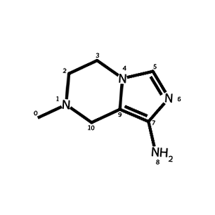 CN1CCn2cnc(N)c2C1